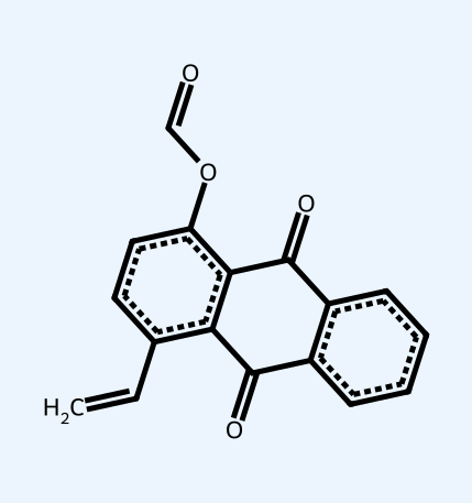 C=Cc1ccc(OC=O)c2c1C(=O)c1ccccc1C2=O